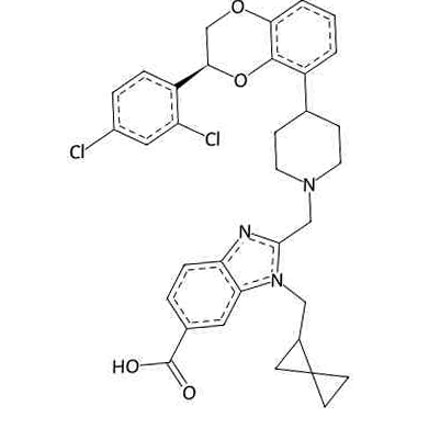 O=C(O)c1ccc2nc(CN3CCC(c4cccc5c4O[C@@H](c4ccc(Cl)cc4Cl)CO5)CC3)n(CC3CC34CC4)c2c1